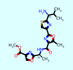 COC(=O)c1coc([C@H](C)NC(=O)c2nc(-c3csc([C@@H](N)C(C)C)n3)oc2C)n1